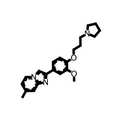 COc1cc(-c2cn3ccc(C)cc3n2)ccc1OCCCN1CCCC1